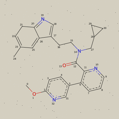 COc1ccc(-c2cccnc2C(=O)N(CCC2=CN=C3CC=C(C)C=C23)CC2CC2)cn1